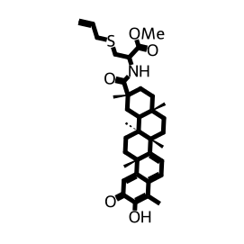 C=CCSCC(NC(=O)[C@]1(C)CC[C@]2(C)CC[C@]3(C)C4=CC=C5C(=CC(=O)C(O)=C5C)[C@]4(C)CC[C@@]3(C)C2C1)C(=O)OC